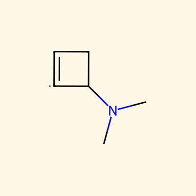 CN(C)C1[C]=CC1